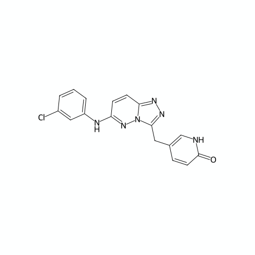 O=c1ccc(Cc2nnc3ccc(Nc4cccc(Cl)c4)nn23)c[nH]1